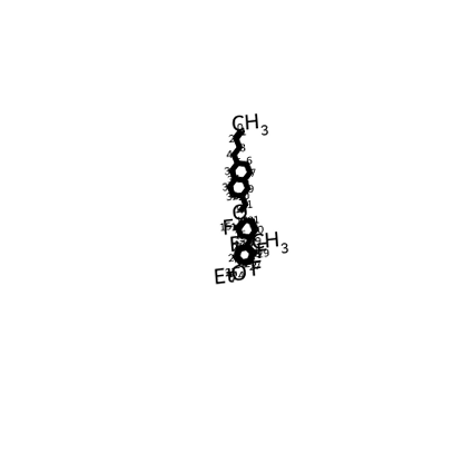 C/C=C/CCC1CCC2CC(COC3=C(F)C(F)C(C)(c4ccc(OCC)c(F)c4F)C=C3)CCC2C1